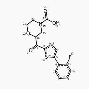 O=C(c1ncc(-c2ccccc2F)s1)C1CN(C(=O)O)CCO1